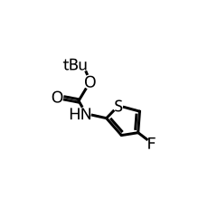 CC(C)(C)OC(=O)Nc1cc(F)cs1